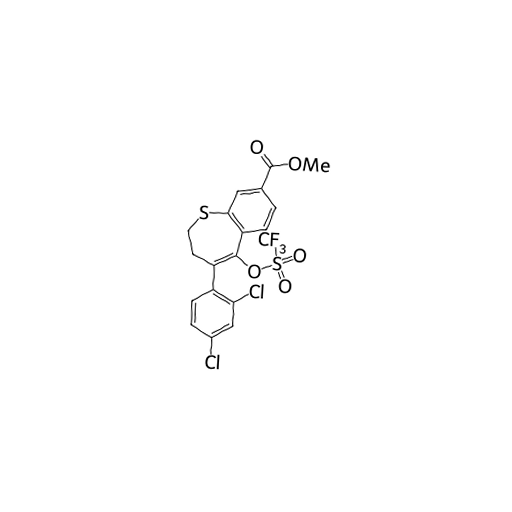 COC(=O)c1ccc2c(c1)SCCC(c1ccc(Cl)cc1Cl)=C2OS(=O)(=O)C(F)(F)F